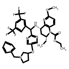 CCOC(=O)N1c2ccc(OC)nc2[C@@H](NC(c2cc(C(F)(F)F)cc(C(F)(F)F)c2)c2ncc(OC3CCN(Cc4ccccc4)C3)cn2)C[C@H]1CC